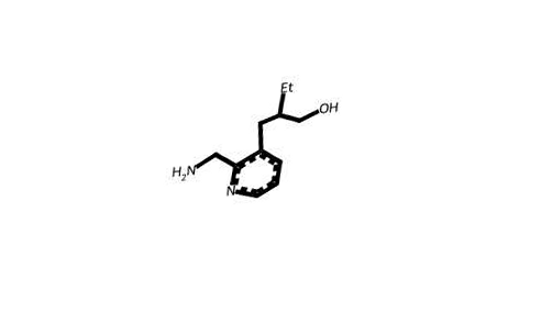 CCC(CO)Cc1cccnc1CN